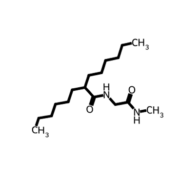 CCCCCCC(CCCCCC)C(=O)NCC(=O)NC